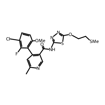 COc1ccc(Cl)c(F)c1-c1cc(C)ncc1C(=O)Nc1nnc(OCCSC)s1